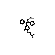 CCCCCCCCCCC/C(=C(/C1=CC(C)C(OCCN(C)C)C=C1)c1ccccc1)c1ccccc1